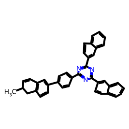 CC1C=Cc2cc(-c3ccc(-c4nc(-c5ccc6ccccc6c5)nc(-c5ccc6ccccc6c5)n4)cc3)ccc2C1